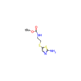 CC(C)(C)OC(=O)NCCSc1cnc(N)s1